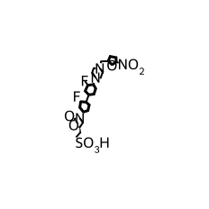 O=C1O[C@H](CCS(=O)(=O)O)CN1c1ccc(-c2ccc(N3CCN(Cc4ccc([N+](=O)[O-])o4)CC3)c(F)c2)c(F)c1